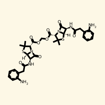 CC1(C)S[C@@H]2[C@H](NC(=O)Cc3ccccc3N)C(=O)N2[C@H]1C(=O)OCOC(=O)[C@@H]1N2C(=O)[C@@H](NC(=O)Cc3ccccc3N)[C@H]2SC1(C)C